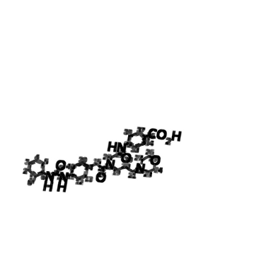 Cc1ccccc1NC(=O)Nc1ccc(CC(=O)N(CCCN2CCOCC2)CC(=O)Nc2ccc(C(=O)O)cc2)cc1